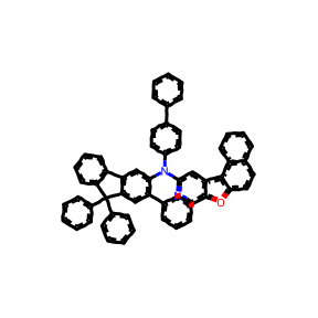 c1ccc(-c2ccc(N(c3cc4c(cn3)oc3ccc5ccccc5c34)c3cc4c(cc3-c3ccccc3)C(c3ccccc3)(c3ccccc3)c3ccccc3-4)cc2)cc1